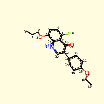 CCCOc1ccc(F)c2c(=O)c(-c3ccc(OCC)cc3)c[nH]c12